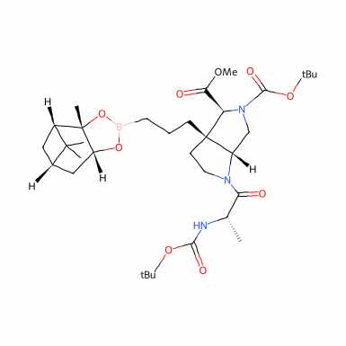 COC(=O)[C@H]1N(C(=O)OC(C)(C)C)C[C@@H]2N(C(=O)[C@H](C)NC(=O)OC(C)(C)C)CC[C@@]21CCCB1O[C@@H]2C[C@@H]3C[C@@H](C3(C)C)[C@]2(C)O1